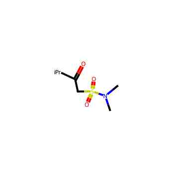 CC(C)C(=O)CS(=O)(=O)N(C)C